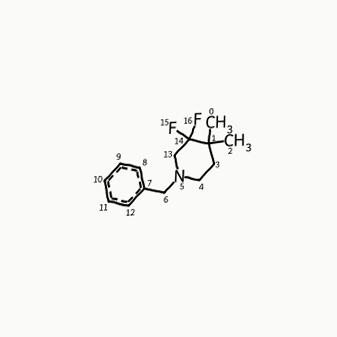 CC1(C)CCN(Cc2ccccc2)CC1(F)F